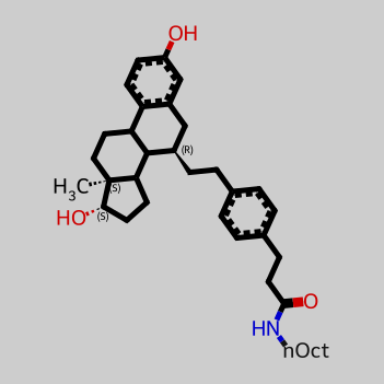 CCCCCCCCNC(=O)CCc1ccc(CC[C@@H]2Cc3cc(O)ccc3C3CC[C@@]4(C)C(CC[C@@H]4O)C32)cc1